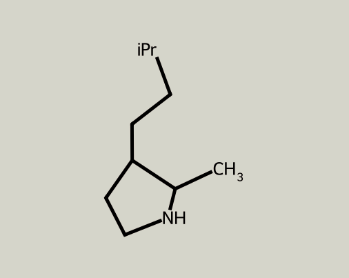 CC(C)CCC1CCNC1C